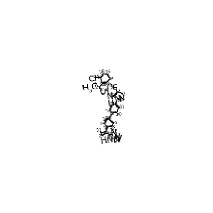 C[C@@H](OC(=O)Nc1c(F)cnn1-c1ccc(-c2ccc(C3(c4nnn[nH]4)CC3)cc2)cc1)c1ccccc1Cl